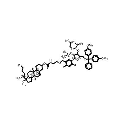 COc1ccc(C(OC[C@H]2O[C@@H](c3cc(COCCNC(=O)OC4CC[C@@]5(C)C(=CC[C@@H]6[C@@H]5CC[C@@]5(C)[C@H]6CC[C@]5(C)[C@H](C)CCCC(C)C)C4)c(F)cc3F)[C@@H](O[Si](C)(C)C(C)(C)C)C2OP(OCCC#N)N(C(C)C)C(C)C)(c2ccccc2)c2ccc(OC)cc2)cc1